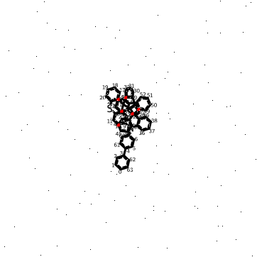 c1ccc(-c2ccc(N(c3ccc4c(c3)C3(c5ccccc5S4)c4ccccc4-c4ccccc43)c3ccccc3C3(c4ccccc4)c4ccccc4-c4ccccc43)cc2)cc1